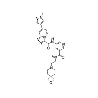 Cc1ncc(C(=O)NCCN2CCC3(CC2)COC3)cc1NC(=O)c1nnc2cc(-c3cnn(C)c3)ccn12